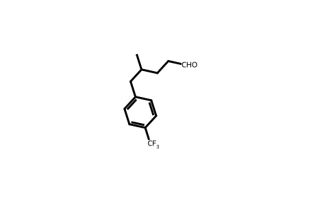 CC(CCC=O)Cc1ccc(C(F)(F)F)cc1